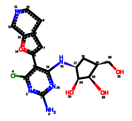 Nc1nc(Cl)c(-c2cc3ccncc3o2)c(N[C@@H]2C[C@H](CO)[C@@H](O)[C@H]2O)n1